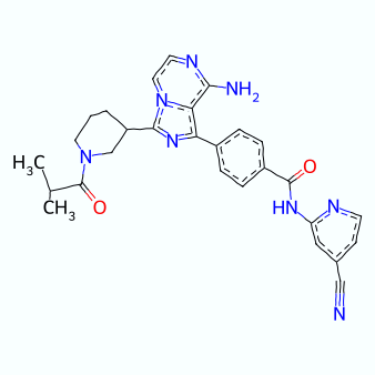 CC(C)C(=O)N1CCCC(c2nc(-c3ccc(C(=O)Nc4cc(C#N)ccn4)cc3)c3c(N)nccn23)C1